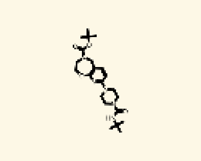 CC(C)(C)NC(=O)N1CCN(c2ccc3c(n2)OCCN(C(=O)OC(C)(C)C)C3)CC1